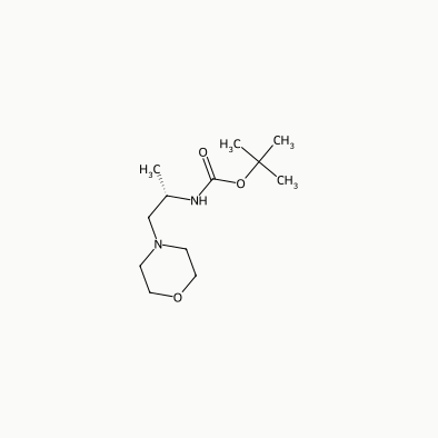 C[C@@H](CN1CCOCC1)NC(=O)OC(C)(C)C